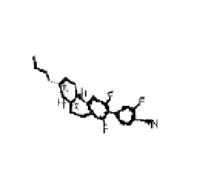 CCCC[C@@H]1CC[C@@H]2c3cc(F)c(-c4ccc(C#N)c(F)c4)c(F)c3CC[C@H]2C1